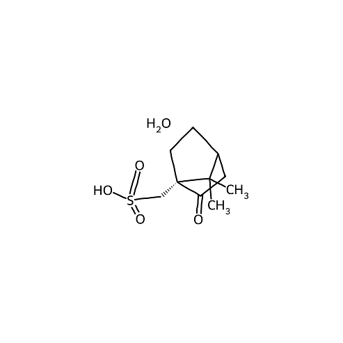 CC1(C)C2CC[C@]1(CS(=O)(=O)O)C(=O)C2.O